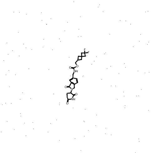 O=C1CCC(N2Cc3ccc(CNC(=O)OCC4CC5(C4)CC(F)(F)C5)cc3C2=O)C(=O)N1